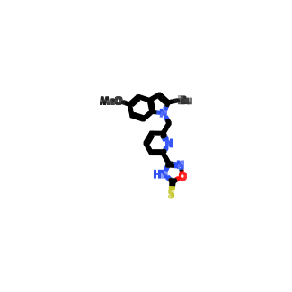 CCC(C)c1cc2cc(OC)ccc2n1Cc1cccc(-c2noc(=S)[nH]2)n1